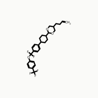 C=CCCC1COC(C2CCC(c3ccc(C(F)(F)Oc4ccc(C(F)(F)F)cc4)cc3)CC2)OC1